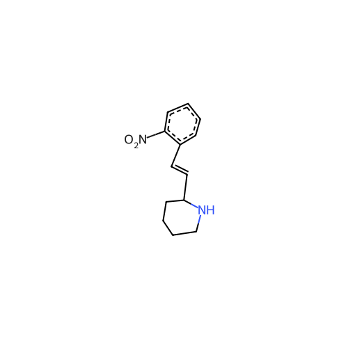 O=[N+]([O-])c1ccccc1/C=C/C1CCCCN1